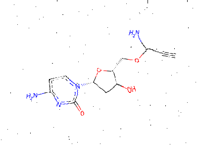 C#CC(N)OC[C@H]1O[C@@H](n2ccc(N)nc2=O)CC1O